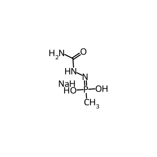 CP(O)(O)=NNC(N)=O.[NaH]